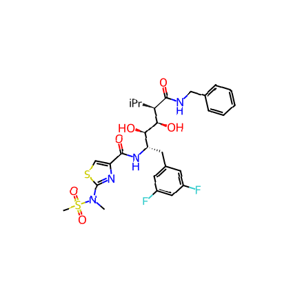 CC(C)[C@@H](C(=O)NCc1ccccc1)[C@@H](O)[C@H](O)[C@H](Cc1cc(F)cc(F)c1)NC(=O)c1csc(N(C)S(C)(=O)=O)n1